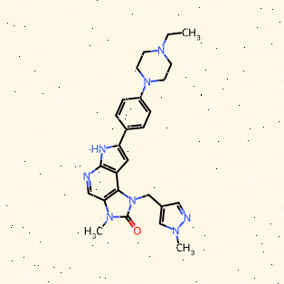 CCN1CCN(c2ccc(-c3cc4c(ncc5c4n(Cc4cnn(C)c4)c(=O)n5C)[nH]3)cc2)CC1